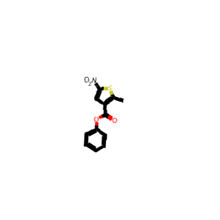 Cc1sc([N+](=O)[O-])cc1C(=O)Oc1ccccc1